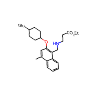 CCOC(=O)CCNCc1c(OC2CCC(C(C)(C)C)CC2)cc(C)c2ccccc12